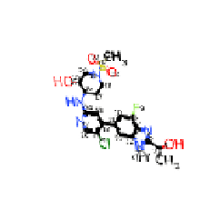 CC(C)n1c([C@H](C)O)nc2c(F)cc(-c3cc(N[C@@H]4CCN(S(C)(=O)=O)C[C@H]4O)ncc3Cl)cc21